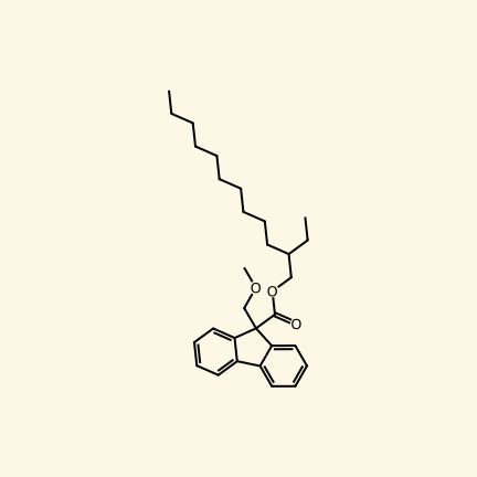 CCCCCCCCCCC(CC)COC(=O)C1(COC)c2ccccc2-c2ccccc21